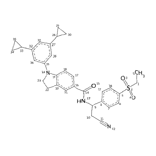 CCS(=O)(=O)c1ccc(C(CC#N)NC(=O)c2ccc3c(c2)CCN3c2cc(C3CC3)cc(C3CC3)c2)cc1